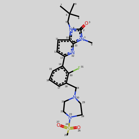 Cn1c(=O)n(CC(C)(C)C)c2ccc(-c3cccc(CN4CCN(S(C)(=O)=O)CC4)c3F)nc21